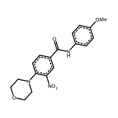 COc1ccc(NC(=O)c2ccc(N3CCOCC3)c([N+](=O)[O-])c2)cc1